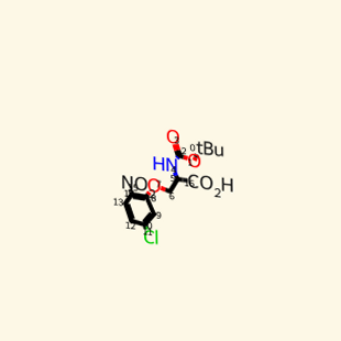 CC(C)(C)OC(=O)NC(COc1cc(Cl)ccc1[N+](=O)[O-])C(=O)O